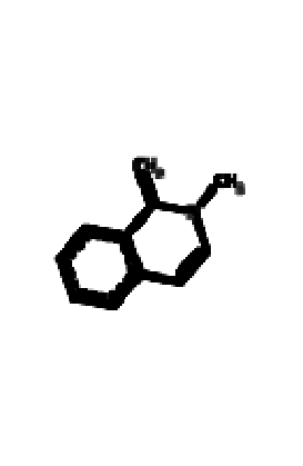 C=C1c2ccccc2C=CN1C